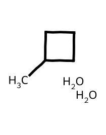 CC1CCC1.O.O